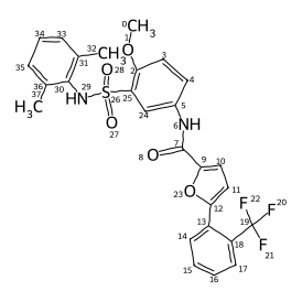 COc1ccc(NC(=O)c2ccc(-c3ccccc3C(F)(F)F)o2)cc1S(=O)(=O)Nc1c(C)cccc1C